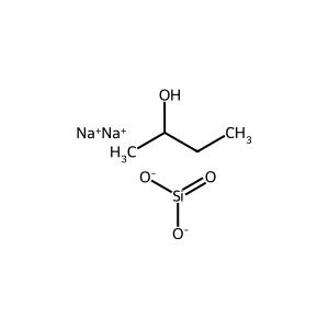 CCC(C)O.O=[Si]([O-])[O-].[Na+].[Na+]